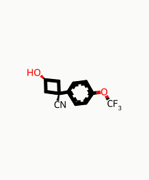 N#C[C@]1(c2ccc(OC(F)(F)F)cc2)C[C@H](O)C1